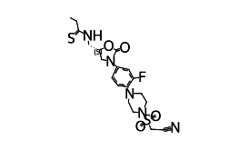 CCC(=S)NC[C@H]1CN(c2ccc(N3CCN(S(=O)(=O)CC#N)CC3)c(F)c2)C(=O)O1